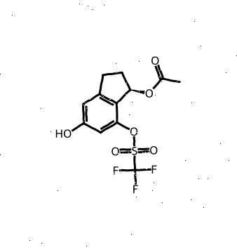 CC(=O)O[C@@H]1CCc2cc(O)cc(OS(=O)(=O)C(F)(F)F)c21